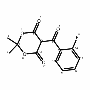 CC1(C)OC(=O)C(C(=O)c2ccccc2F)C(=O)O1